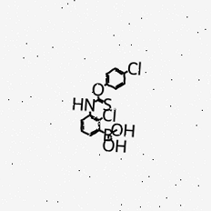 OB(O)c1cccc(NC(=S)Oc2ccc(Cl)cc2)c1Cl